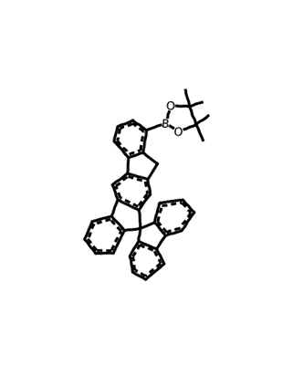 CC1(C)OB(c2cccc3c2Cc2cc4c(cc2-3)-c2ccccc2C42c3ccccc3-c3ccccc32)OC1(C)C